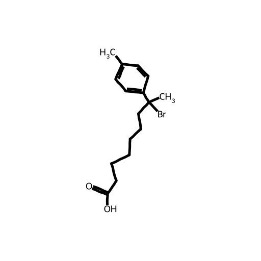 Cc1ccc(C(C)(Br)CCCCCCC(=O)O)cc1